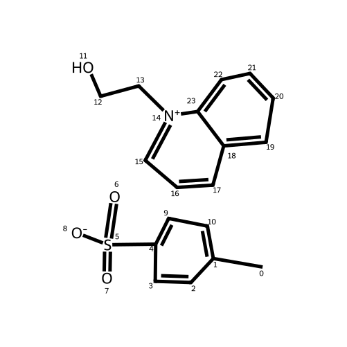 Cc1ccc(S(=O)(=O)[O-])cc1.OCC[n+]1cccc2ccccc21